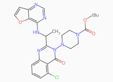 CC(Nc1ncnc2ccoc12)c1nc2cccc(Cl)c2c(=O)n1N1CCN(C(=O)OC(C)(C)C)CC1